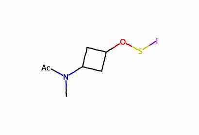 CC(=O)N(C)C1CC(OSI)C1